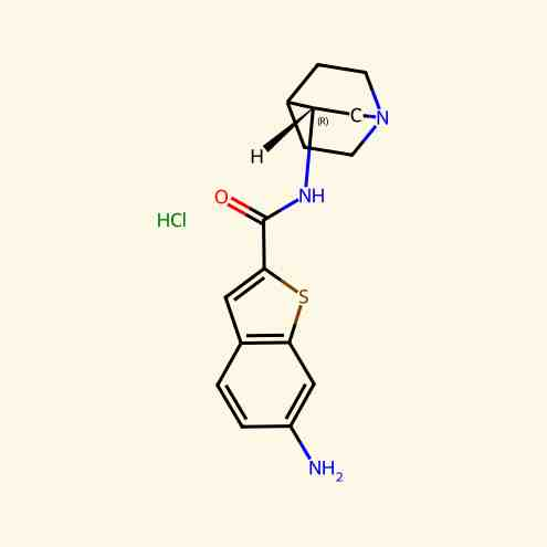 Cl.Nc1ccc2cc(C(=O)N[C@H]3CN4CCC3CC4)sc2c1